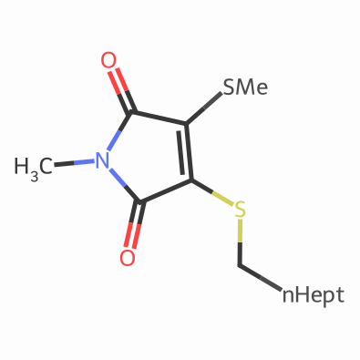 CCCCCCCCSC1=C(SC)C(=O)N(C)C1=O